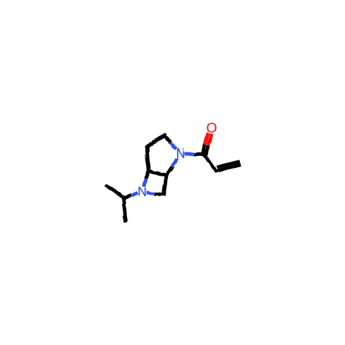 C=CC(=O)N1CCC2C1CN2C(C)C